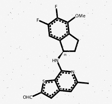 COc1c(F)c(F)cc2c1CC[C@H]2Nc1nc(C)cc2cc(C=O)sc12